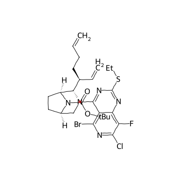 C=CCC[C@@H](C=C)[C@H]1[C@@H]2CC[C@H](CN1c1nc(SCC)nc3c(F)c(Cl)nc(Br)c13)N2C(=O)OC(C)(C)C